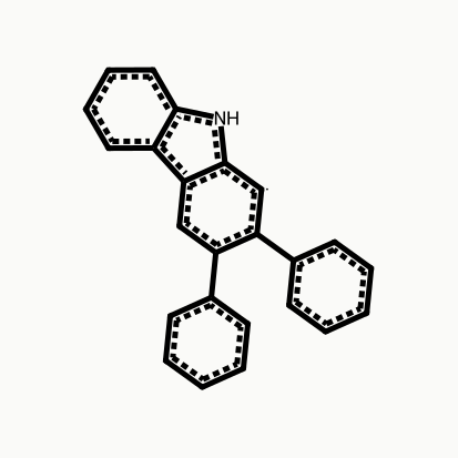 [c]1c(-c2ccccc2)c(-c2ccccc2)cc2c1[nH]c1ccccc12